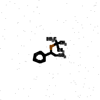 CC(C)(SC(C[N+](=O)[O-])c1ccccc1)C(=O)O